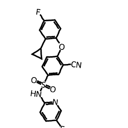 N#Cc1cc(S(=O)(=O)Nc2ccc(F)cn2)ccc1Oc1ccc(F)cc1C1CC1